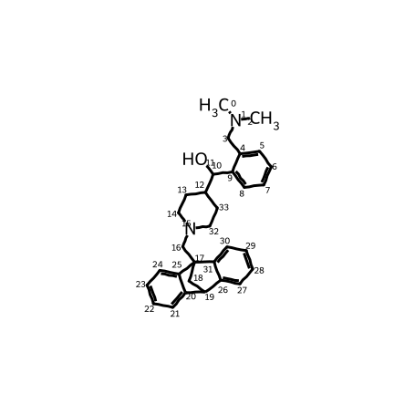 CN(C)Cc1ccccc1C(O)C1CCN(CC23CC(c4ccccc42)c2ccccc23)CC1